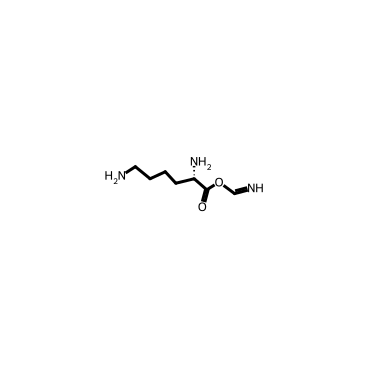 N=COC(=O)[C@@H](N)CCCCN